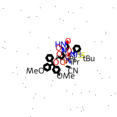 COc1ccc(C(OC[C@H]2O[C@@H](n3ccc(=O)[nH]c3=O)[C@H](OC(=O)Nc3ccccc3SSC(C)(C)C)[C@@H]2OP(CCC#N)N(C(C)C)C(C)C)(c2ccccc2)c2ccc(OC)cc2)cc1